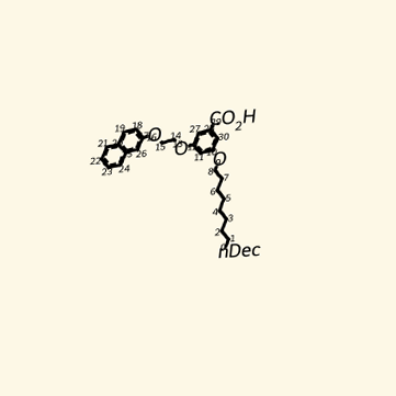 CCCCCCCCCCCCCCCCCCOc1cc(OCCOc2ccc3ccccc3c2)cc(C(=O)O)c1